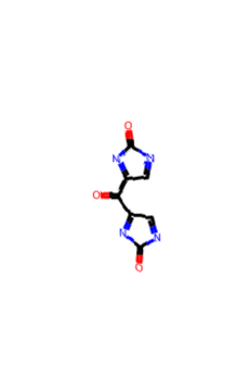 O=C1N=CC(C(=O)C2=NC(=O)N=C2)=N1